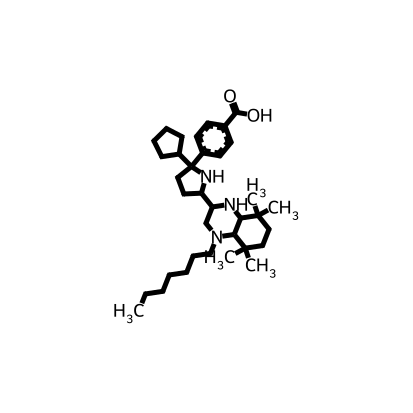 CCCCCCCN1CC(C2CCC(c3ccc(C(=O)O)cc3)(C3CCCC3)N2)NC2C1C(C)(C)CCC2(C)C